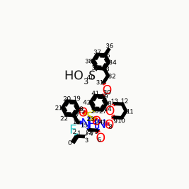 C=C(F)C[C@@H](C(=O)NOC1CCCCO1)N(Cc1ccccc1)S(=O)(=O)c1ccc(OCCc2cc(C)ccc2S(=O)(=O)O)cc1